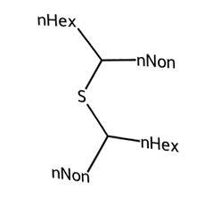 CCCCCCCCCC(CCCCCC)SC(CCCCCC)CCCCCCCCC